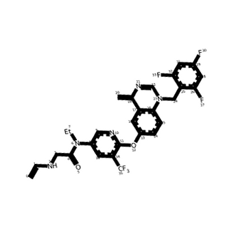 C=CNCC(=O)N(CC)c1cnc(Oc2ccc3c(c2)C(=C)N=CN3Cc2c(F)cc(F)cc2F)c(C(F)(F)F)c1